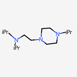 CC(C)N1CCN(CCN(C(C)C)C(C)C)CC1